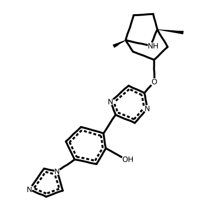 C[C@]12CC[C@](C)(CC(Oc3cnc(-c4ccc(-n5ccnc5)cc4O)cn3)C1)N2